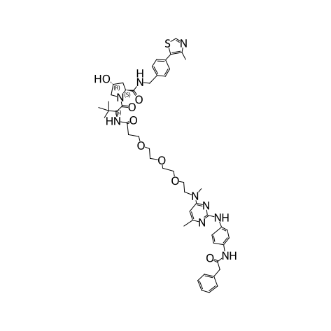 Cc1cc(N(C)CCOCCOCCOCCC(=O)N[C@H](C(=O)N2C[C@H](O)C[C@H]2C(=O)NCc2ccc(-c3scnc3C)cc2)C(C)(C)C)nc(Nc2ccc(NC(=O)Cc3ccccc3)cc2)n1